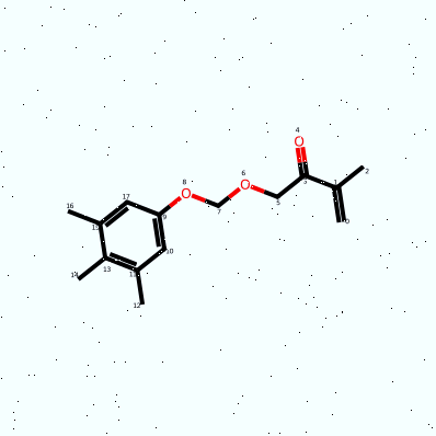 C=C(C)C(=O)COCOc1cc(C)c(C)c(C)c1